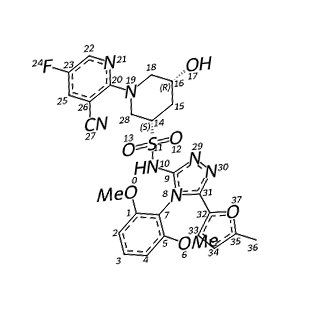 COc1cccc(OC)c1-n1c(NS(=O)(=O)[C@H]2C[C@@H](O)CN(c3ncc(F)cc3C#N)C2)nnc1-c1ccc(C)o1